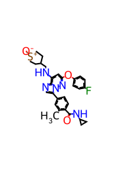 Cc1cc(-c2cnc3c(NCC4CC[S+]([O-])CC4)cc(Oc4ccc(F)cc4)nn23)ccc1C(=O)NC1CC1